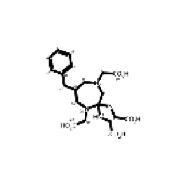 O=C(O)CNC1(NCC(=O)O)CN(CC(=O)O)CC(Cc2ccccc2)CN1CC(=O)O